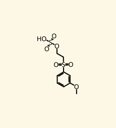 COc1cccc(S(=O)(=O)CCOS(=O)(=O)O)c1